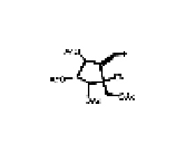 CC(=O)OC[C@@]1(C#N)/C(=C\F)[C@H](OC(C)=O)[C@H](OC(C)=O)[C@@H]1OC(C)=O